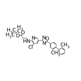 Cc1ccccc1-c1ccc(-c2nc(-c3cnc(NCCC(=O)OC(C)(C)C)c(Cl)c3)no2)cc1C